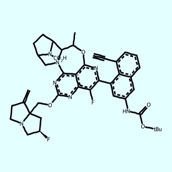 C#Cc1cccc2cc(NC(=O)OC(C)(C)C)cc(-c3nc4c5c(nc(OCC67C[C@@H](F)CN6CCC7=C)nc5c3F)N3CC5CCC(C3C(C)O4)N5C(=O)O)c12